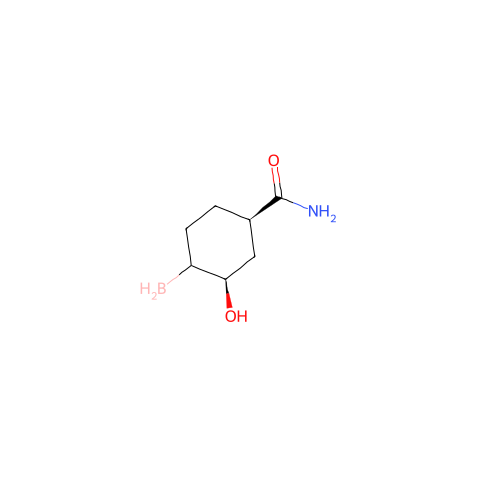 BC1CC[C@@H](C(N)=O)C[C@H]1O